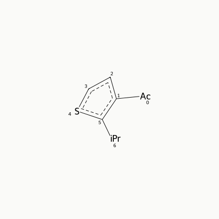 CC(=O)c1ccsc1C(C)C